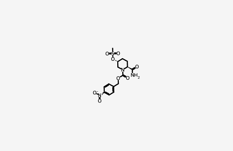 CS(=O)(=O)O[C@@H]1CC[C@@H](C(N)=O)N(C(=O)OCc2ccc([N+](=O)[O-])cc2)C1